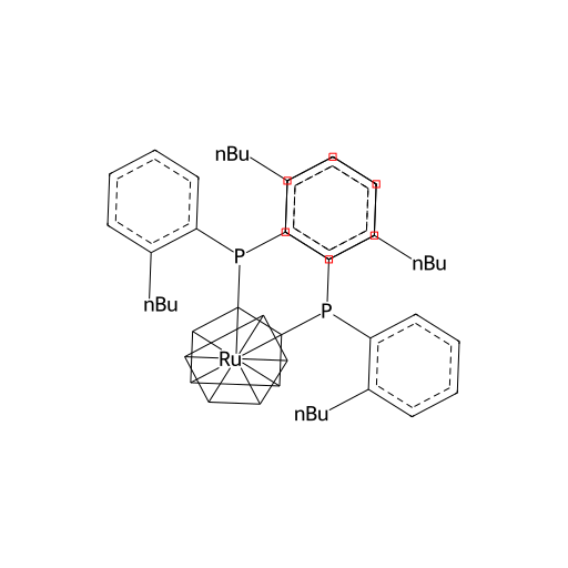 CCCCc1ccccc1P(c1ccccc1CCCC)[C]12[CH]3[CH]4[CH]5[C]1(P(c1ccccc1CCCC)c1ccccc1CCCC)[Ru]43521678[CH]2[CH]1[CH]6[CH]7[CH]28